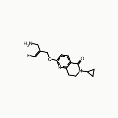 NCC(=CF)COc1ccc2c(n1)CCN(C1CC1)C2=O